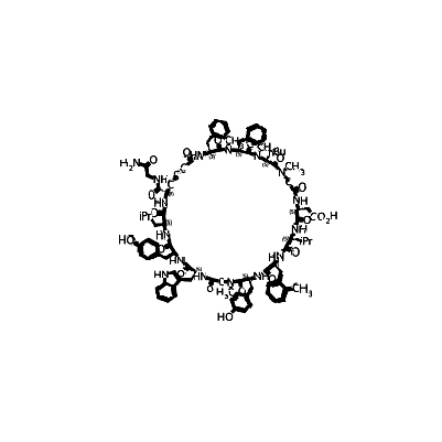 CCCC[C@H]1C(=O)N(C)CC(=O)N[C@@H](CC(=O)O)C(=O)N[C@@H](C(C)C)C(=O)N[C@@H](Cc2ccccc2C)C(=O)N[C@@H](Cc2ccc(O)cc2)C(=O)N(C)CC(=O)N[C@@H](Cc2c[nH]c3ccccc23)C(=O)NC(Cc2ccc(O)cc2)C(=O)N[C@@H](CC(C)C)C(=O)N[C@H](C(=O)NCC(N)=O)CSCC(=O)N[C@@H](Cc2ccccc2)C(=O)N(C)[C@@H](Cc2ccccc2)C(=O)N1C